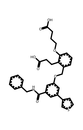 O=C(O)CCCOc1cccc(COc2cc(C(=O)NCc3ccccc3)cc(-c3ccsc3)c2)c1CCC(=O)O